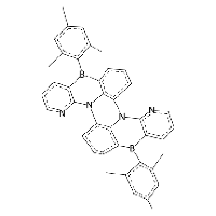 Cc1cc(C)c(B2c3cccnc3N3c4cccc5c4N(c4cccc2c43)c2ncccc2B5c2c(C)cc(C)cc2C)c(C)c1